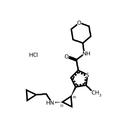 Cc1sc(C(=O)NC2CCOCC2)cc1[C@H]1C[C@@H]1NCC1CC1.Cl